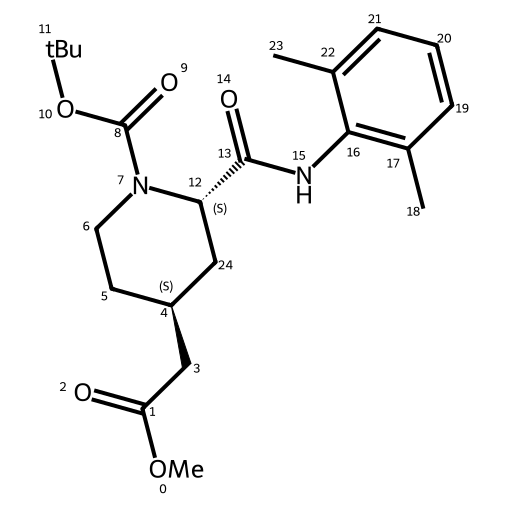 COC(=O)C[C@H]1CCN(C(=O)OC(C)(C)C)[C@H](C(=O)Nc2c(C)cccc2C)C1